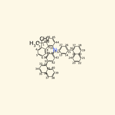 CC1(C)c2ccccc2-c2c(N(c3ccc(-c4cccc5ccccc45)cc3)c3ccc(-c4cccc5ccccc45)cc3)cccc21